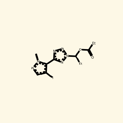 CCC(=O)OC(CC)n1nnc(-c2c(I)cnn2C)n1